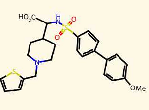 COc1ccc(-c2ccc(S(=O)(=O)NC(C(=O)O)C3CCN(Cc4cccs4)CC3)cc2)cc1